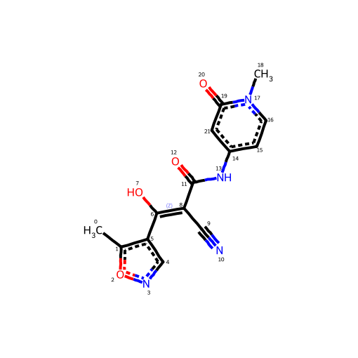 Cc1oncc1/C(O)=C(\C#N)C(=O)Nc1ccn(C)c(=O)c1